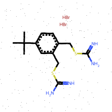 Br.Br.CC(C)(C)c1ccc(CSC(=N)N)c(CSC(=N)N)c1